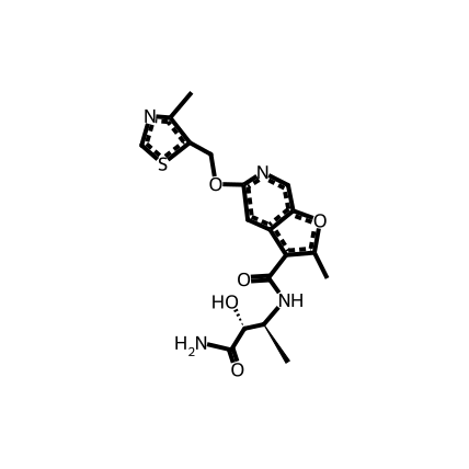 Cc1ncsc1COc1cc2c(C(=O)N[C@@H](C)[C@@H](O)C(N)=O)c(C)oc2cn1